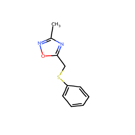 Cc1noc(CSc2ccccc2)n1